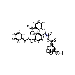 C/C(=C/c1ccc(OCCc2ccccc2)c(OC(C)c2ccccc2)c1)SC(=S)N(CO)CC(=O)O